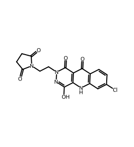 O=C1CCC(=O)N1CCn1nc(O)c2[nH]c3cc(Cl)ccc3c(=O)c2c1=O